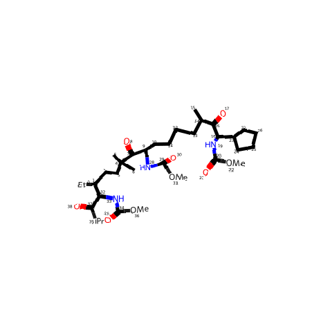 CCC(CCC(C)(C)C(=O)C(CCCCC(C)C(=O)C(NC(=O)OC)C1CCCC1)NC(=O)OC)C(NC(=O)OC)C(=O)C(C)C